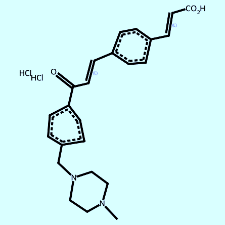 CN1CCN(Cc2ccc(C(=O)/C=C/c3ccc(/C=C/C(=O)O)cc3)cc2)CC1.Cl.Cl